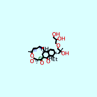 CC[C@H]1[C@@H]2C(=O)C3(Cl)C[C@H](/C=C\C=C\[C@H](C)OC(=O)[C@@H](C)C3=O)[C@@H]2C=C[C@@H]1C[C@@](C)(O)COCC(O)CO